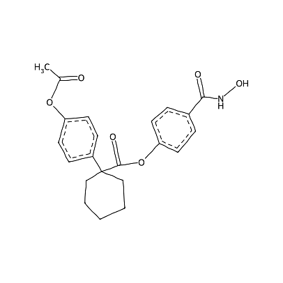 CC(=O)Oc1ccc(C2(C(=O)Oc3ccc(C(=O)NO)cc3)CCCCC2)cc1